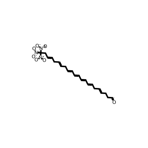 O=[C]CCC=CCC=CC=CC=CC=CCC=CCC=CCC([N+](=O)[O-])([N+](=O)[O-])[N+](=O)[O-]